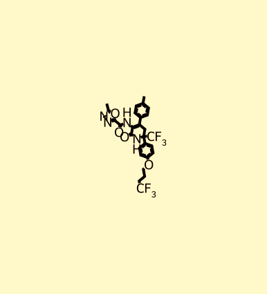 Cc1ccc(C2=C(NC(=O)c3nnc(C)o3)C(=O)NC(c3ccc(OCCCC(F)(F)F)cc3)(C(F)(F)F)C2)cc1